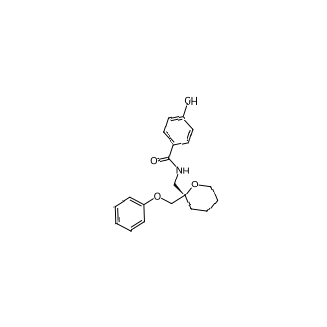 O=C(NC[C@]1(COc2ccccc2)CCCCO1)c1ccc(O)cc1